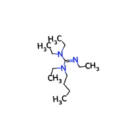 CCCCN(CC)/C(=N\CC)N(CC)CC